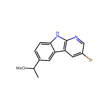 COC(C)c1ccc2[nH]c3ncc(Br)cc3c2c1